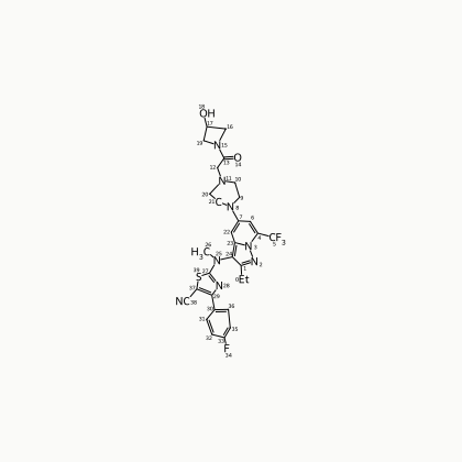 CCc1nn2c(C(F)(F)F)cc(N3CCN(CC(=O)N4CC(O)C4)CC3)cc2c1N(C)c1nc(-c2ccc(F)cc2)c(C#N)s1